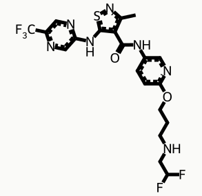 Cc1nsc(Nc2cnc(C(F)(F)F)cn2)c1C(=O)Nc1ccc(OCCCNCC(F)F)nc1